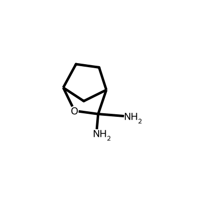 NC1(N)OC2CCC1C2